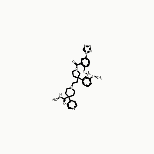 COc1cccc(C2(CCN3CCC(C(=O)NO)(c4ccncc4)CC3)CCN(C(=O)c3cc(-n4cnnn4)ccc3OC)C2)c1